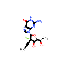 CC#C[C@@]1(F)C(O)[C@@H]([C@H](C)O)O[C@H]1n1cnc2c(=O)[nH]c(N)nc21